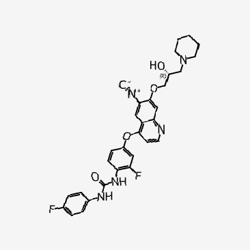 [C-]#[N+]c1cc2c(Oc3ccc(NC(=O)Nc4ccc(F)cc4)c(F)c3)ccnc2cc1OC[C@H](O)CN1CCCCC1